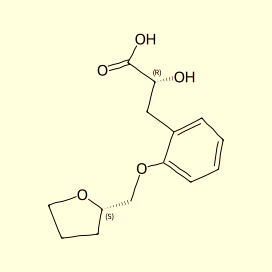 O=C(O)[C@H](O)Cc1ccccc1OC[C@@H]1CCCO1